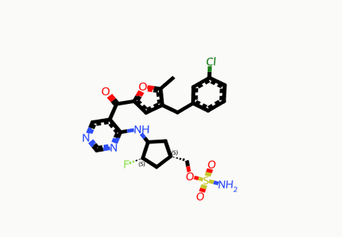 Cc1oc(C(=O)c2cncnc2NC2C[C@H](COS(N)(=O)=O)C[C@@H]2F)cc1Cc1cccc(Cl)c1